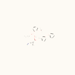 CC1(C)[C@H](C(=O)OC(C#N)c2cccc(Oc3ccccc3)c2)[C@@H]1/C=C(\Cl)C(F)(F)F.CNC(=O)Oc1cccc2c1OC(C)(C)C2